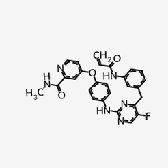 C=CC(=O)Nc1cccc(Cc2nc(Nc3ccc(Oc4ccnc(C(=O)NC)c4)cc3)ncc2F)c1